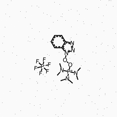 CN(C)[P+](OOn1nnc2ccccc21)(N(C)C)N(C)C.F[P-](F)(F)(F)(F)F